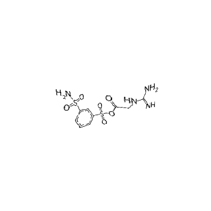 N=C(N)NCC(=O)OS(=O)(=O)c1cccc(S(N)(=O)=O)c1